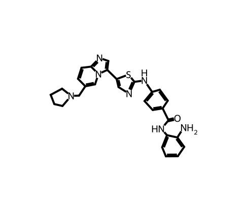 Nc1ccccc1NC(=O)c1ccc(Nc2ncc(-c3cnc4ccc(CN5CCCC5)cn34)s2)cc1